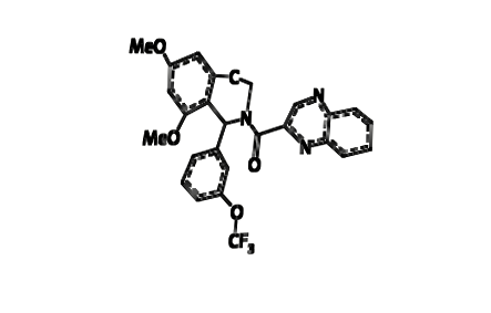 COc1cc2c(c(OC)c1)C(c1cccc(OC(F)(F)F)c1)N(C(=O)c1cnc3ccccc3n1)CC2